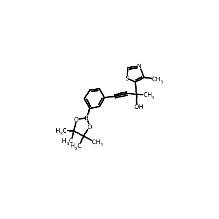 Cc1ncsc1C(C)(O)C#Cc1cccc(B2OC(C)(C)C(C)(C)O2)c1